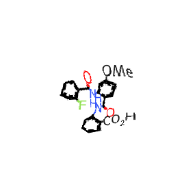 COc1ccc(C(=O)Nc2ccccc2C(=O)O)c(NC(=O)c2ccccc2F)c1